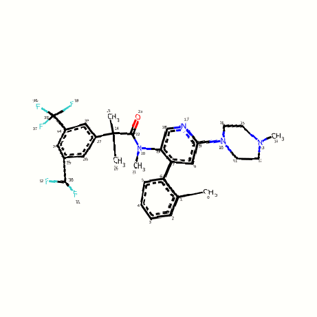 Cc1ccccc1-c1cc(N2CCN(C)CC2)ncc1N(C)C(=O)C(C)(C)c1cc(C(F)F)cc(C(F)(F)F)c1